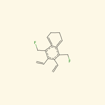 C=Cc1c(C=C)c(CF)c2c(c1CF)=CCCC=2